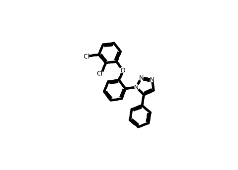 Clc1cccc(Oc2ccccc2-n2nncc2-c2ccccc2)c1Cl